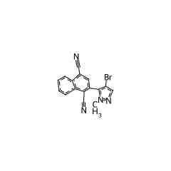 Cn1ncc(Br)c1-c1cc(C#N)c2ccccc2c1C#N